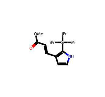 COC(=O)C=Cc1cc[nH]c1[Si](C(C)C)(C(C)C)C(C)C